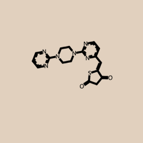 O=C1CC(=O)C(=Cc2ccnc(N3CCN(c4ncccn4)CC3)n2)S1